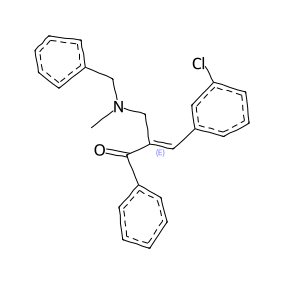 CN(C/C(=C\c1cccc(Cl)c1)C(=O)c1ccccc1)Cc1ccccc1